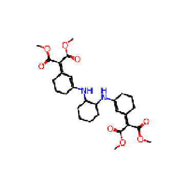 COC(=O)C(C(=O)OC)=C1C=C(NC2CCCCC2NC2=CC(=C(C(=O)OC)C(=O)OC)CCC2)CCC1